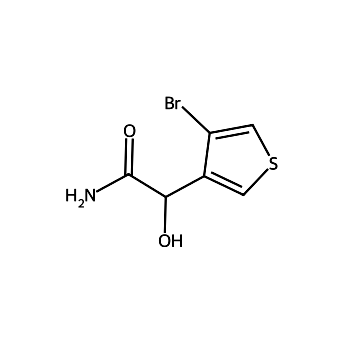 NC(=O)C(O)c1cscc1Br